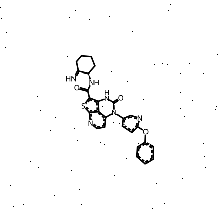 N=C1CCCC[C@H]1NC(=O)c1sc2nccc3c2c1NC(=O)N3c1ccc(Oc2ccccc2)nc1